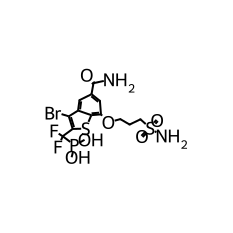 NC(=O)c1cc(OCCCS(N)(=O)=O)c2sc(C(F)(F)P(O)O)c(Br)c2c1